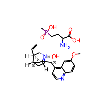 C=C[C@H]1C[N@]2CC[C@H]1C[C@H]2[C@H](O)c1ccnc2ccc(OC)cc12.CP(=O)(O)CCC(N)C(=O)O